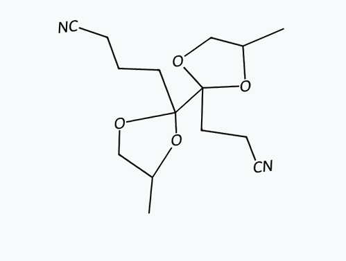 CC1COC(CCC#N)(C2(CCCC#N)OCC(C)O2)O1